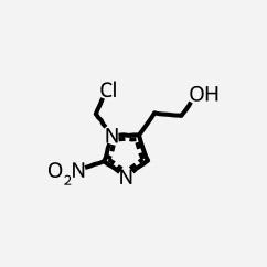 O=[N+]([O-])c1ncc(CCO)n1CCl